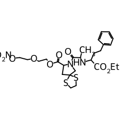 CCOC(=O)C(CCc1ccccc1)NC(C)C(=O)N1CC2(CC1C(=O)OCCOCCO[N+](=O)[O-])SCCS2